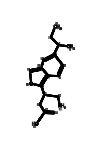 CCC(C)c1ccc2c(C(CN)CC(=O)O)occ2c1